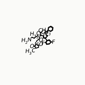 CC1CC(=O)N(CC(=O)N(CCCN)C(c2cc(-c3cc(F)ccc3F)cn2Cc2ccccc2)C(C)(C)C)C1=O